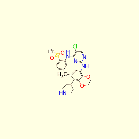 Cc1cc(Nc2ncc(Cl)c(Nc3ccccc3S(=O)(=O)C(C)C)n2)c2c(c1C1CCNCC1)OCCO2